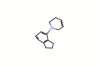 C1=CCN(c2cccc3c2CCC3)CC1